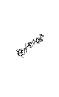 Cc1ccc2onc(NCC(=O)NC3CN(C4CCC(O)(c5cncs5)CC4)C3)c2c1